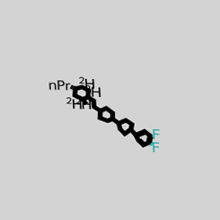 [2H]C1([2H])CC(CCC)CC([2H])([2H])C1CCC1CCC(C2CCC(c3ccc(F)c(F)c3)CC2)CC1